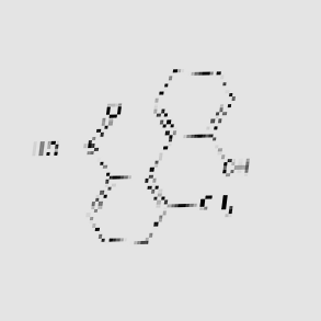 Cc1cccc(S(=O)O)c1-c1ccccc1O